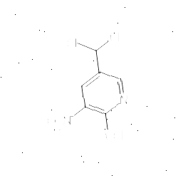 O=[N+]([O-])c1cc(C(Cl)Cl)cnc1C(Cl)(Cl)Cl